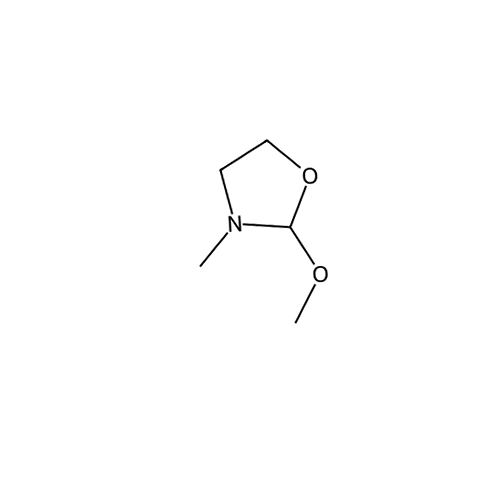 COC1OCCN1C